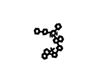 CC1(C)c2ccc3ccccc3c2-c2cccc(-c3cccc(-c4ccc(-c5nc(-c6ccccc6)cc(-c6ccc(-c7ccccc7)cc6)n5)c5ccccc45)c3)c21